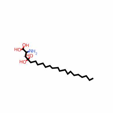 CCCCCCCCCCCCCCCCCCC(O)(O)[CH]C(N)C(O)O